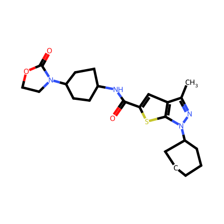 Cc1nn(C2CCCCC2)c2sc(C(=O)NC3CCC(N4CCOC4=O)CC3)cc12